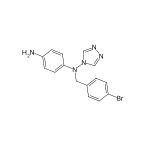 Nc1ccc(N(Cc2ccc(Br)cc2)n2cnnc2)cc1